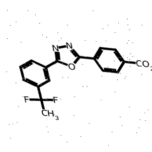 CC(F)(F)c1cccc(-c2nnc(-c3ccc(C(=O)O)cc3)o2)c1